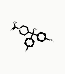 Cc1ccc(C(O)(c2ccc(F)cc2)C2CCN(C(=O)O)CC2)cc1